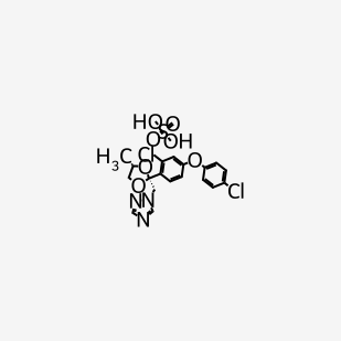 C[C@H]1CO[C@](Cn2cncn2)(c2ccc(Oc3ccc(Cl)cc3)cc2Cl)O1.O=S(=O)(O)O